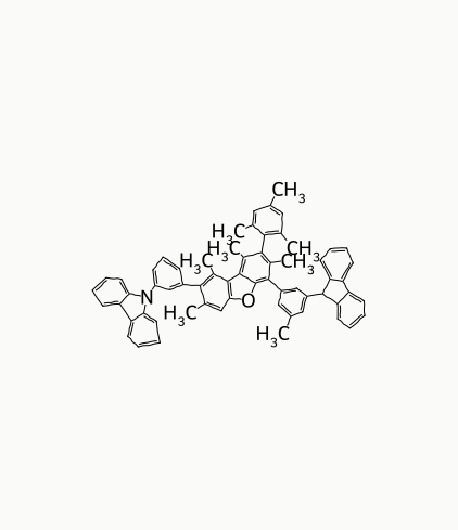 Cc1cc(-c2c(C)c(-c3c(C)cc(C)cc3C)c(C)c3c2oc2cc(C)c(-c4cccc(-n5c6ccccc6c6ccccc65)c4)c(C)c23)cc(C2c3ccccc3-c3ccccc32)c1